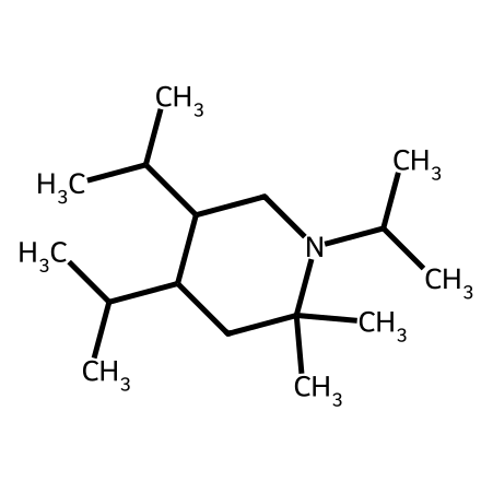 CC(C)C1CN(C(C)C)C(C)(C)CC1C(C)C